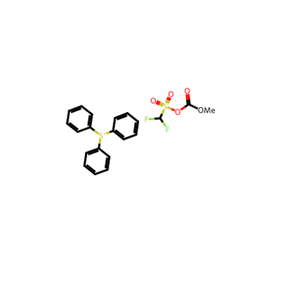 COC(=O)OS(=O)(=O)C(F)F.c1ccc([S+](c2ccccc2)c2ccccc2)cc1